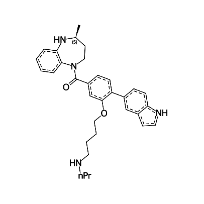 CCCNCCCCOc1cc(C(=O)N2CC[C@H](C)Nc3ccccc32)ccc1-c1ccc2[nH]ccc2c1